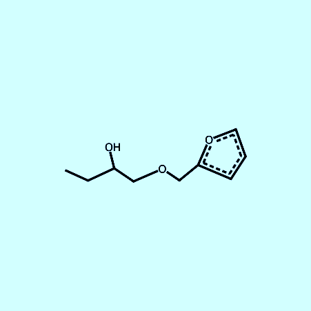 CCC(O)COCc1ccco1